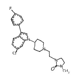 CN1CCN(CCN2CCC(n3cc(-c4ccc(F)cc4)c4ccc(Cl)cc43)CC2)C1=O